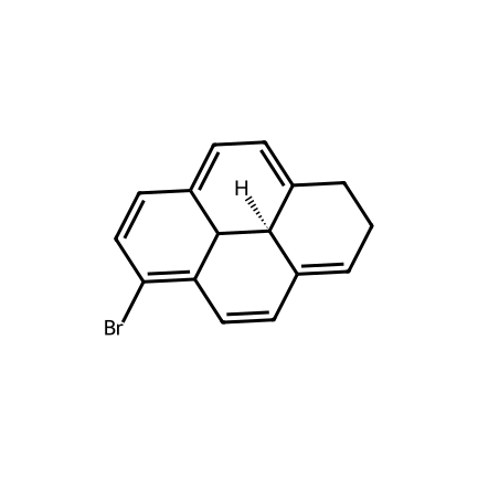 BrC1=C2C=CC3=CCCC4=CC=C(C=C1)C2[C@H]34